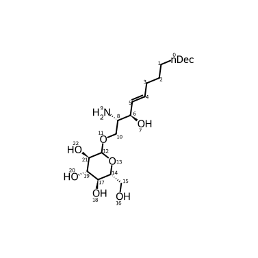 CCCCCCCCCCCCC/C=C/[C@@H](O)[C@@H](N)COC1O[C@H](CO)[C@@H](O)[C@H](O)[C@H]1O